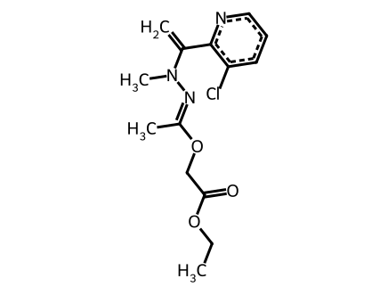 C=C(c1ncccc1Cl)N(C)/N=C(\C)OCC(=O)OCC